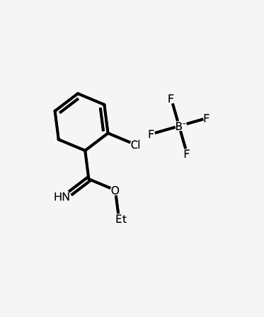 CCOC(=N)C1CC=CC=C1Cl.F[B-](F)(F)F